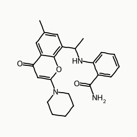 Cc1cc(C(C)Nc2ccccc2C(N)=O)c2oc(N3CCCCC3)cc(=O)c2c1